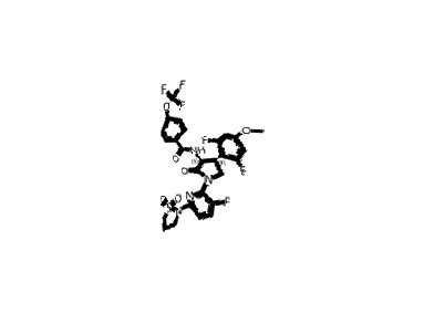 COc1cc(F)c([C@@H]2CN(c3nc(N4CCCS4(=O)=O)ccc3F)C(=O)[C@H]2NC(=O)c2ccc(OC(F)(F)F)cc2)c(F)c1